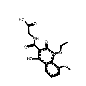 CCOn1c(=O)c(C(=O)NCC(=O)O)c(O)c2cccc(OC)c21